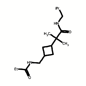 CCC(=O)NCC1CC(C(C)(C)C(=O)NCC(C)C)C1